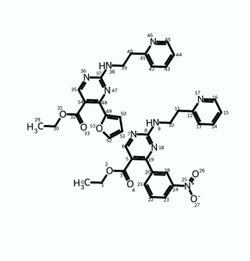 CCOC(=O)c1cnc(NCCc2ccccn2)nc1-c1cccc([N+](=O)[O-])c1.CCOC(=O)c1cnc(NCCc2ccccn2)nc1-c1ccco1